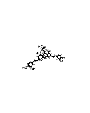 Cl.O=c1oc(C=Cc2ccc(O)c(O)c2)cc(O)c1C(c1ncc[nH]1)c1c(O)cc(C=Cc2ccc(O)c(O)c2)oc1=O